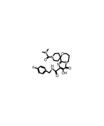 CN(C)C(=O)N1CCC2(CC1)OCCCn1c2nc(C(=O)NCc2ccc(F)cc2)c(O)c1=O